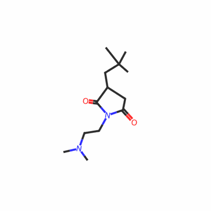 CN(C)CCN1C(=O)CC(CC(C)(C)C)C1=O